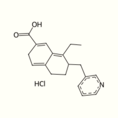 CCC1=C2C=C(C(=O)O)CC=C2CCC1Cc1cccnc1.Cl